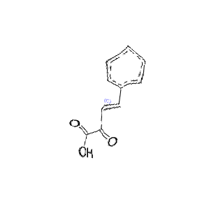 O=C(O)C(=O)/C=C/c1ccccc1